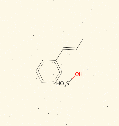 CC=Cc1ccccc1.O=S(=O)(O)O